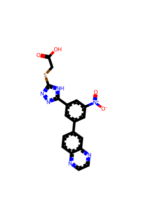 O=C(O)CSc1nnc(-c2cc(-c3ccc4nccnc4c3)cc([N+](=O)[O-])c2)[nH]1